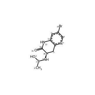 CB(O)N[C@@H]1Cc2ncc(Br)cc2NC1=O